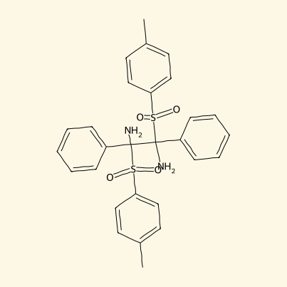 Cc1ccc(S(=O)(=O)C(N)(c2ccccc2)C(N)(c2ccccc2)S(=O)(=O)c2ccc(C)cc2)cc1